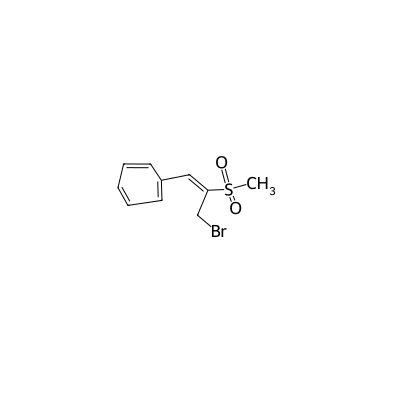 CS(=O)(=O)/C(=C/c1ccccc1)CBr